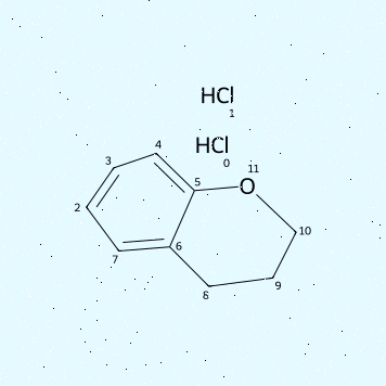 Cl.Cl.c1ccc2c(c1)CCCO2